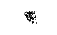 CC(C)(C)CC(=O)CC(=O)[O-].CC(C)(C)CC(=O)CC(=O)[O-].CC(C)(C)CC(=O)CC(=O)[O-].[Al+3]